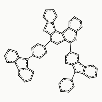 c1ccc(-n2c3ccccc3c3cc(-c4nc5ccccc5c5c4cc(-c4ccc(-n6c7ccccc7c7ccccc76)cc4)c4sc6ccccc6c45)ccc32)cc1